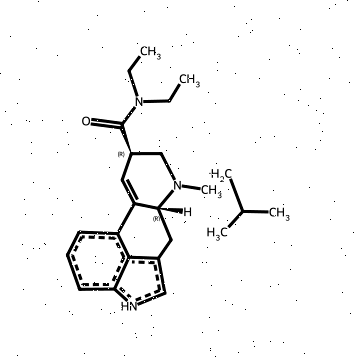 CCN(CC)C(=O)[C@@H]1C=C2c3cccc4[nH]cc(c34)C[C@H]2N(C)C1.[CH2]C(C)C